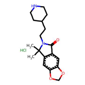 CC1(C)c2cc3c(cc2C(=O)N1CCC1CCNCC1)OCO3.Cl